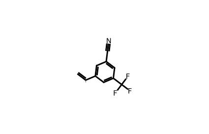 C=[C]c1cc(C#N)cc(C(F)(F)F)c1